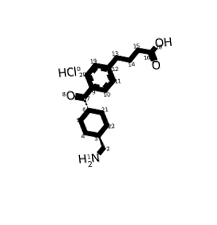 Cl.NC[C@H]1CC[C@H](C(=O)c2ccc(CCCC(=O)O)cc2)CC1